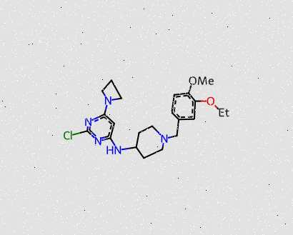 CCOc1cc(CN2CCC(Nc3cc(N4CCC4)nc(Cl)n3)CC2)ccc1OC